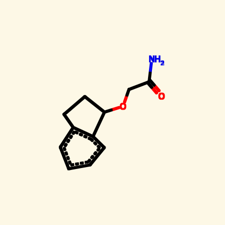 NC(=O)COC1CCc2ccccc21